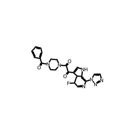 O=C(C(=O)N1CCN(C(=O)c2ccccc2)CC1)C1=CNC2=C(n3ccnn3)N=CC(F)C12